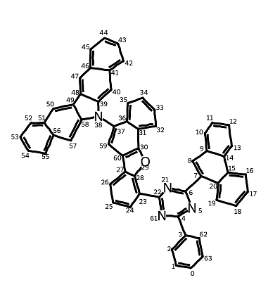 c1ccc(-c2nc(-c3cc4ccccc4c4ccccc34)nc(-c3cccc4c3oc3c5ccccc5c(-n5c6cc7ccccc7cc6c6cc7ccccc7cc65)cc43)n2)cc1